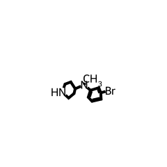 CN(c1cccc(Br)c1)C1CCNCC1